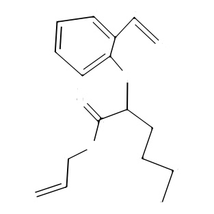 C=CCOC(=O)C(CCCC)Oc1ccccc1C=O